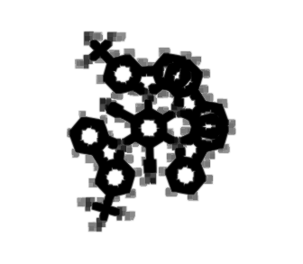 N#Cc1c(-n2c3ccccc3c3cc(C(F)(F)F)ccc32)c(C#N)c(-n2c3ccccc3c3cc(C(F)(F)F)ccc32)c(-n2c3ccccc3c3ccccc32)c1-n1c2ccccc2c2ccccc21